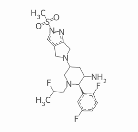 CC(F)CN1CC(N2Cc3cn(S(C)(=O)=O)nc3C2)CC(N)[C@H]1c1cc(F)ccc1F